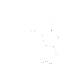 CC(=O)NC1c2ccccc2CC1C